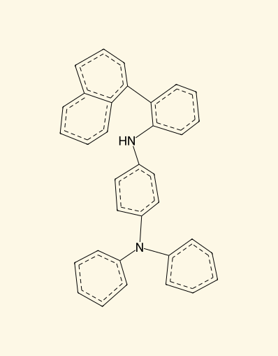 c1ccc(N(c2ccccc2)c2ccc(Nc3ccccc3-c3cccc4ccccc34)cc2)cc1